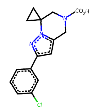 O=C(O)N1Cc2cc(-c3cccc(Cl)c3)nn2C2(CC2)C1